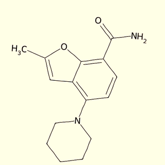 Cc1cc2c(N3CCCCC3)ccc(C(N)=O)c2o1